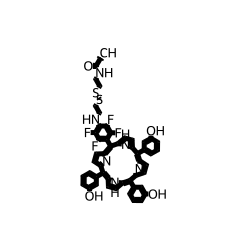 C#CC(=O)NCCSSCCNc1c(F)c(F)c(-c2c3nc(c(-c4cccc(O)c4)c4ccc([nH]4)c(-c4cccc(O)c4)c4nc(c(-c5cccc(O)c5)c5ccc2[nH]5)C=C4)C=C3)c(F)c1F